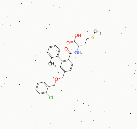 CSCC[C@H](NC(=O)c1ccc(COCc2ccccc2Cl)cc1-c1ccccc1C)C(=O)O